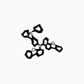 c1ccc(-n2c3ccccc3c3ccc(N(c4cccc5c4ccc4c6ccccc6sc54)c4cccc5c4oc4ccccc45)cc32)cc1